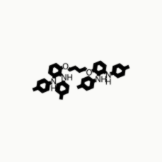 Cc1ccc(Nc2cccc(OCCCCOc3cccc(Nc4ccc(C)cc4)c3Nc3ccc(C)cc3)c2Nc2ccc(C)cc2)cc1